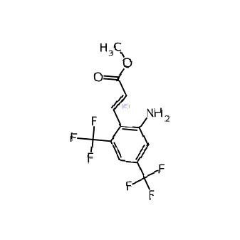 COC(=O)/C=C/c1c(N)cc(C(F)(F)F)cc1C(F)(F)F